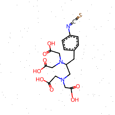 O=C(O)CN(CC(=O)O)CC(Cc1ccc(N=C=S)cc1)N(CC(=O)O)CC(=O)O